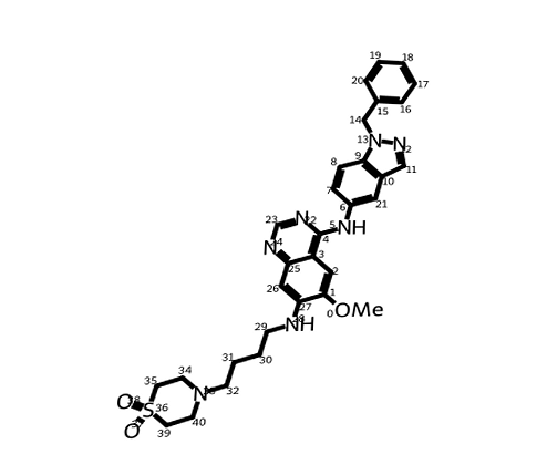 COc1cc2c(Nc3ccc4c(cnn4Cc4ccccc4)c3)ncnc2cc1NCCCCN1CCS(=O)(=O)CC1